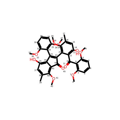 COc1cccc(OC)c1C(=O)c1c(O)cc(C)c(OC)c1C1=C(c2c(OC)cccc2OC)c2c(O)cc(C)c(OC)c2C1=O